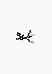 CCC[CH2][Sn]([C]#Cc1ccc(C#N)c(-c2ccccc2)c1C#N)([CH2]CCC)[CH2]CCC